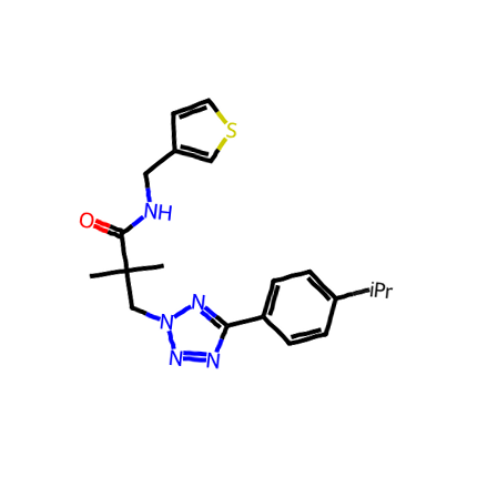 CC(C)c1ccc(-c2nnn(CC(C)(C)C(=O)NCc3ccsc3)n2)cc1